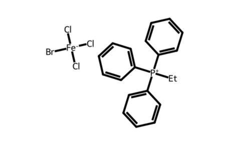 CC[P+](c1ccccc1)(c1ccccc1)c1ccccc1.[Cl][Fe-]([Cl])([Cl])[Br]